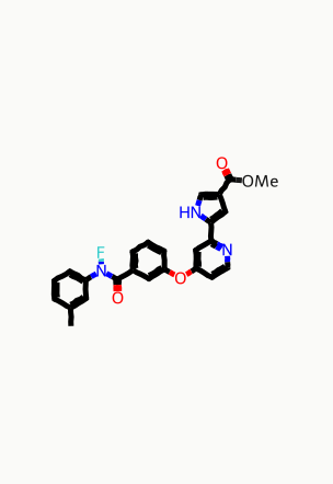 COC(=O)c1c[nH]c(-c2cc(Oc3cccc(C(=O)N(F)c4cccc(C)c4)c3)ccn2)c1